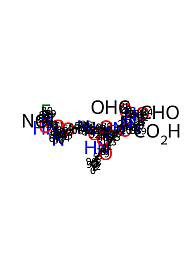 Cc1ccc(CCCC(=O)NCCCCCC(CNC(=O)CN2CCN(COC=O)CCN(COC=O)CCN(CC(=O)O)CC2)SC2CC(=O)N(CCCC(=O)N3CCN(CCCCOc4ccc5nccc(C(=O)NCC(=O)N6CC(C)(F)C[C@@H]6C#N)c5c4)CC3)C2=O)cc1